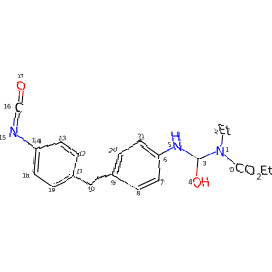 CCOC(=O)N(CC)C(O)Nc1ccc(Cc2ccc(N=C=O)cc2)cc1